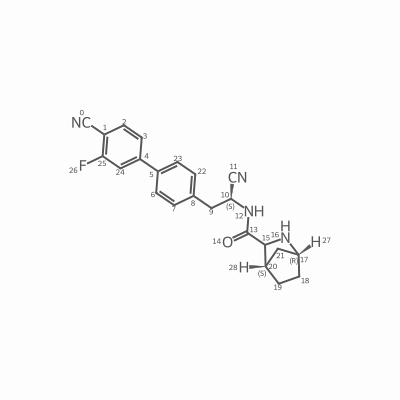 N#Cc1ccc(-c2ccc(C[C@@H](C#N)NC(=O)C3N[C@@H]4CC[C@H]3C4)cc2)cc1F